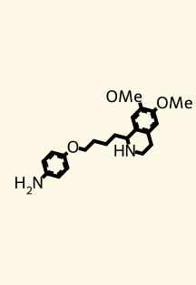 COc1cc2c(cc1OC)C(CCCCOc1ccc(N)cc1)NCC2